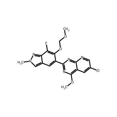 COCOc1c(-c2nc(OC)c3cc(Cl)cnc3n2)cc2cn(C)nc2c1F